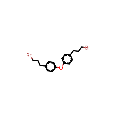 BrCCCc1ccc(Oc2ccc(CCCBr)cc2)cc1